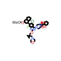 COCOc1cc(-c2c(Cl)cc3c(N4CC5C(O)C(O)C(C4)N5C(C)(C)c4ccccc4)nc(OCC4(CN5CCOCC5)CC4)nc3c2F)c2ccccc2c1